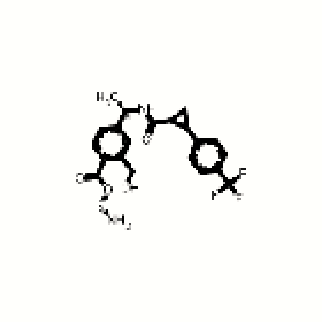 C[C@@H](NC(=O)C1CC1c1ccc(C(F)(F)F)cc1)c1ccc(C(=O)OSN)c(CO)c1